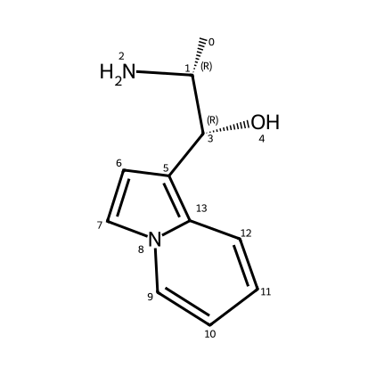 C[C@@H](N)[C@H](O)c1ccn2ccccc12